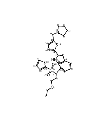 CCOCCN(c1cccc2c1NC(c1ncc(CN3CCCC3)s1)C2)S(=O)(=O)c1cccs1